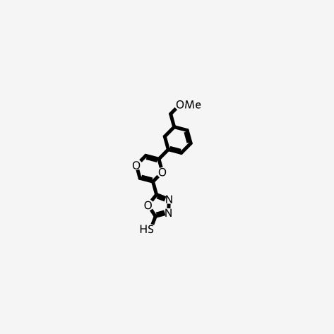 COCC1C=CC=C(C2=COC=C(c3nnc(S)o3)O2)C1